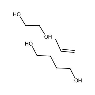 C=CC.OCCCCO.OCCO